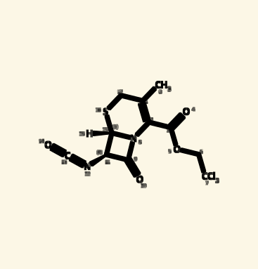 CC1=C(C(=O)OCC(Cl)(Cl)Cl)N2C(=O)[C@@H](N=C=O)[C@@H]2SC1